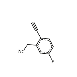 C#Cc1ccc(F)cc1CC#N